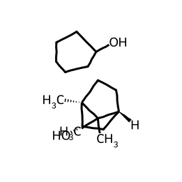 CC1(C)[C@@H]2CC[C@]1(C)[C@@H](O)C2.OC1CCCCC1